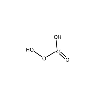 [O]=[Zr]([OH])[O]O